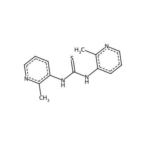 Cc1ncccc1NC(=S)Nc1cccnc1C